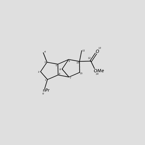 CCCC1CC(C)C2C1C1CC2C(C)(C(=O)OC)C1